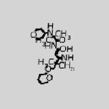 CC(C)(COC1CCCCO1)C(=N)/C=C(\O)NC(=O)C(C)(C)NC1CCOCC1